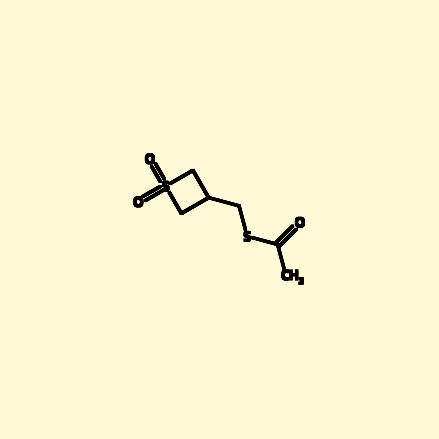 CC(=O)SCC1CS(=O)(=O)C1